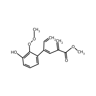 C=C/C(=C\C(=C)C(=O)OC)c1cccc(O)c1OOC